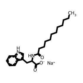 CCCCCCCCCCCC(=O)NC(Cc1c[nH]c2ccccc12)C(=O)[O-].[Na+]